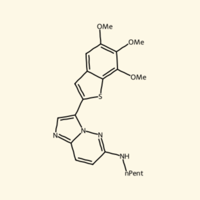 CCCCCNc1ccc2ncc(-c3cc4cc(OC)c(OC)c(OC)c4s3)n2n1